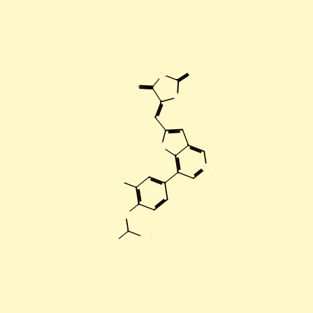 Cc1cc(-c2cncc3cc(/C=C4\SC(=O)NC4=O)oc23)ccc1OC(C)C